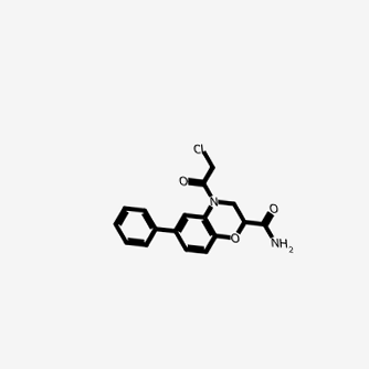 NC(=O)C1CN(C(=O)CCl)c2cc(-c3ccccc3)ccc2O1